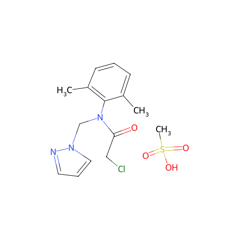 CS(=O)(=O)O.Cc1cccc(C)c1N(Cn1cccn1)C(=O)CCl